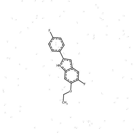 CCOc1cc2[nH]c(-c3ccc(F)cc3)cc2cc1F